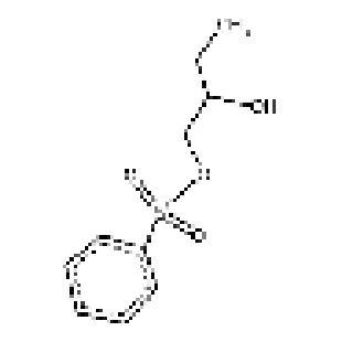 CCC(O)COS(=O)(=O)c1ccccc1